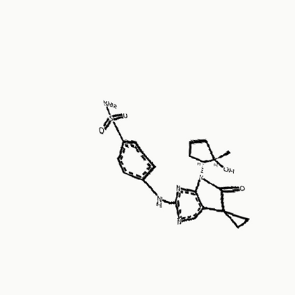 CNS(=O)(=O)c1ccc(Nc2ncc3c(n2)N([C@@H]2CCC[C@]2(C)O)C(=O)C32CC2)cc1